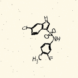 Cc1ccc(NS(=O)(=O)c2c[nH]c3cc(Cl)ccc23)cc1F